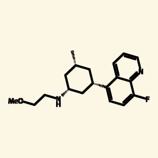 COCCN[C@@H]1C[C@H](C)C[C@H](c2ccc(F)c3ncccc23)C1